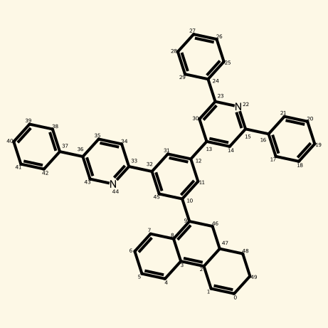 C1=CC2=c3ccccc3=C(c3cc(-c4cc(-c5ccccc5)nc(-c5ccccc5)c4)cc(-c4ccc(-c5ccccc5)cn4)c3)CC2CC1